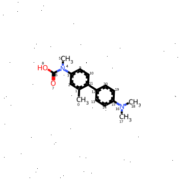 Cc1cc(N(C)C(=O)O)ccc1-c1ccc(N(C)C)cc1